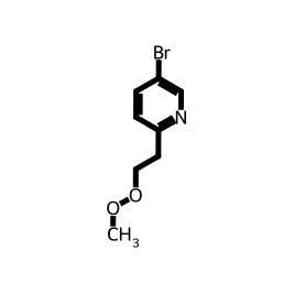 COOCCc1ccc(Br)cn1